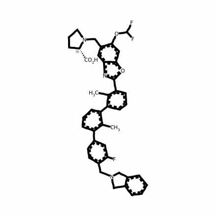 Cc1c(-c2ccc(CN3Cc4ccccc4C3)c(F)c2)cccc1-c1cccc(-c2nc3cc(CN4CCC[C@H]4C(=O)O)c(OC(F)F)cc3o2)c1C